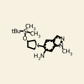 Cn1ncc2cc(N3CCC(O[Si](C)(C)C(C)(C)C)C3)c(N)cc21